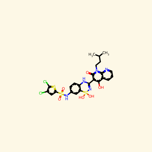 CC(C)CCn1c(=O)c(C2=NS(O)(O)c3cc(NS(=O)(=O)c4cc(Cl)c(Cl)s4)ccc3N2)c(O)c2cccnc21